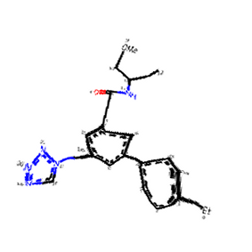 CCc1ccc(-c2cc(C(=O)NC(C)COC)cc(-n3cnnn3)c2)cc1